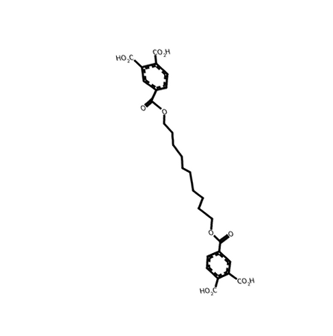 O=C(OCCCCCCCCCCOC(=O)c1ccc(C(=O)O)c(C(=O)O)c1)c1ccc(C(=O)O)c(C(=O)O)c1